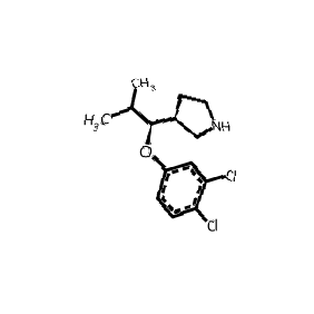 CC(C)[C@H](Oc1ccc(Cl)c(Cl)c1)[C@H]1CCNC1